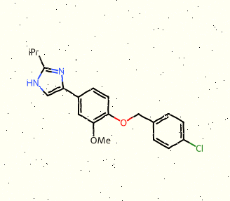 COc1cc(-c2c[nH]c(C(C)C)n2)ccc1OCc1ccc(Cl)cc1